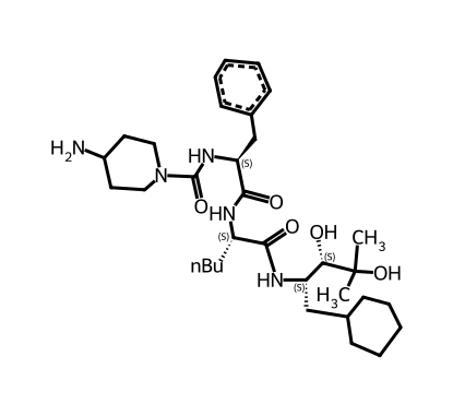 CCCC[C@H](NC(=O)[C@H](Cc1ccccc1)NC(=O)N1CCC(N)CC1)C(=O)N[C@@H](CC1CCCCC1)[C@H](O)C(C)(C)O